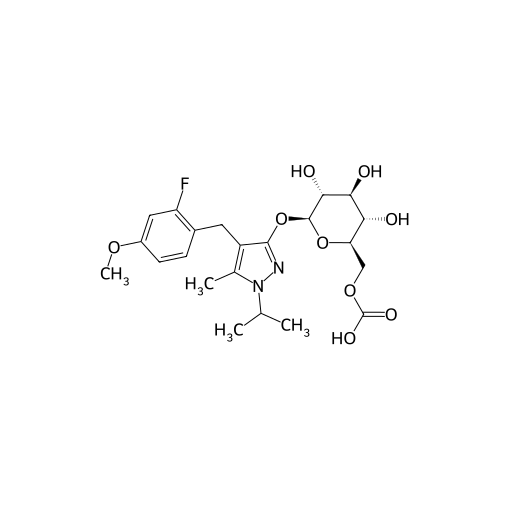 COc1ccc(Cc2c(O[C@@H]3O[C@H](COC(=O)O)[C@@H](O)[C@H](O)[C@H]3O)nn(C(C)C)c2C)c(F)c1